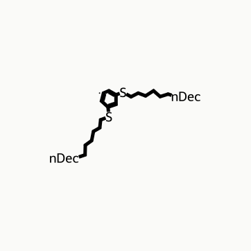 CCCCCCCCCCCCCCCCSc1c[c]cc(SCCCCCCCCCCCCCCCC)c1